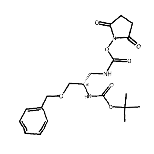 CC(C)(C)OC(=O)N[C@@H](CNC(=O)ON1C(=O)CCC1=O)COCc1ccccc1